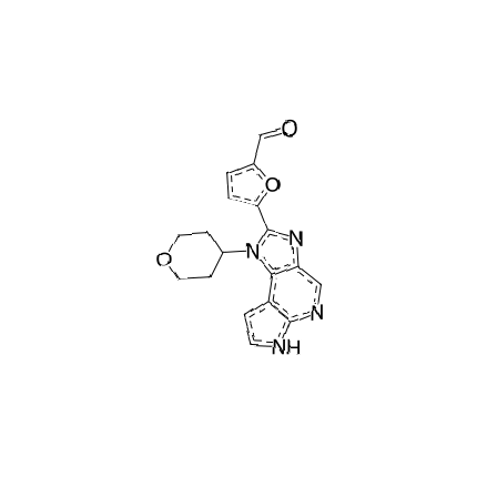 O=Cc1ccc(-c2nc3cnc4[nH]ccc4c3n2C2CCOCC2)o1